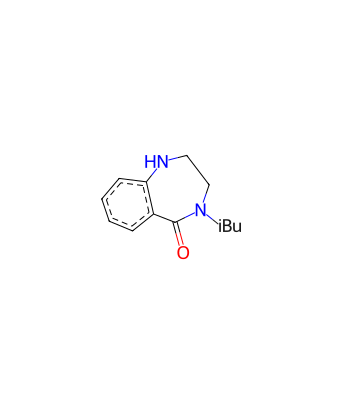 CCC(C)N1CCNc2ccccc2C1=O